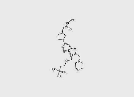 CC(C)NC(=O)OC1CCC(c2cnc3c(c2)cc(CN2CCOCC2)n3COCC[Si](C)(C)C)C1